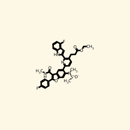 CCOC(=O)CCc1ccc(-c2cc3c(C(=O)NC)c(-c4ccc(F)cc4)oc3cc2N(C)[S+](C)[O-])nc1-c1cc2c(F)cccc2[nH]1